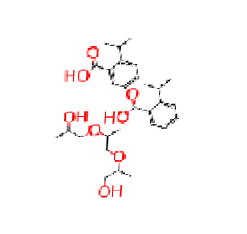 CC(C)c1ccccc1C(=O)O.CC(C)c1ccccc1C(=O)O.CC(O)COC(C)COC(C)CO